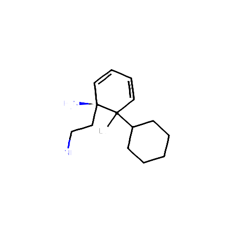 [CH2]CC1(C2CCCCC2)C=CC=C[C@@]1(N)CCN